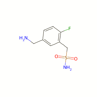 NCc1ccc(F)c(CS(N)(=O)=O)c1